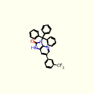 O=c1[nH]c2cc(-c3cccc(C(F)(F)F)c3)cnc2n1C(c1ccccc1)(c1ccccc1)c1ccccc1